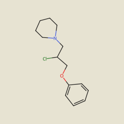 ClC(COc1ccccc1)CN1CCCCC1